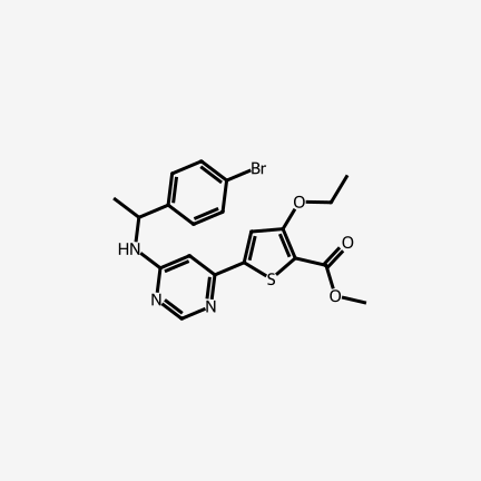 CCOc1cc(-c2cc(NC(C)c3ccc(Br)cc3)ncn2)sc1C(=O)OC